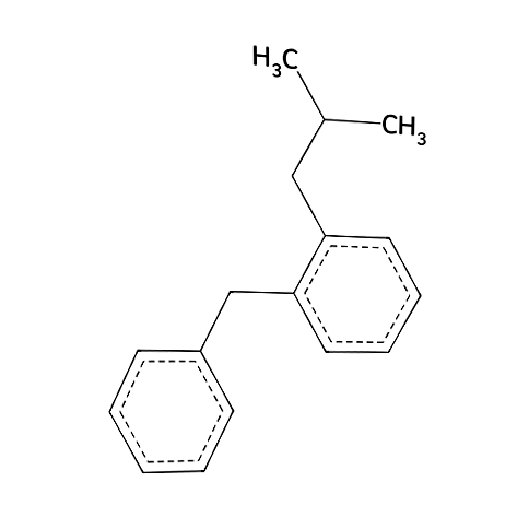 CC(C)Cc1ccccc1Cc1ccccc1